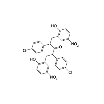 O=C(C(Cc1cc([N+](=O)[O-])ccc1O)c1ccc(Cl)cc1)C(Cc1cc([N+](=O)[O-])ccc1O)c1ccc(Cl)cc1